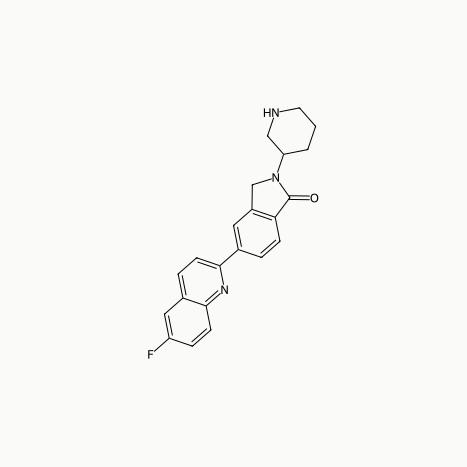 O=C1c2ccc(-c3ccc4cc(F)ccc4n3)cc2CN1C1CCCNC1